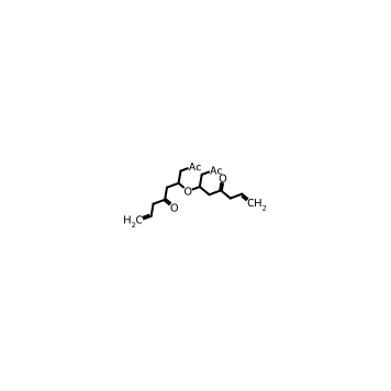 C=CCC(=O)CC(CC(C)=O)OC(CC(C)=O)CC(=O)CC=C